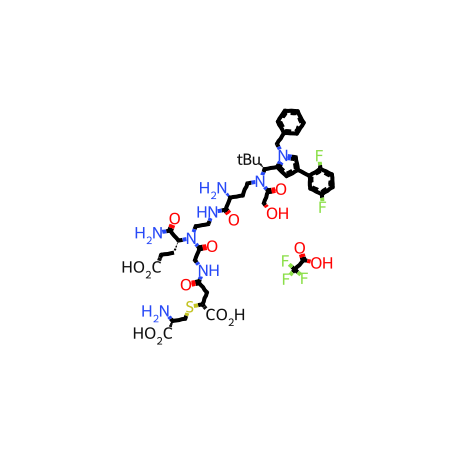 CC(C)(C)[C@H](c1cc(-c2cc(F)ccc2F)cn1Cc1ccccc1)N(CC[C@H](N)C(=O)NCCN(C(=O)CNC(=O)CC(SC[C@H](N)C(=O)O)C(=O)O)[C@H](CCC(=O)O)C(N)=O)C(=O)CO.O=C(O)C(F)(F)F